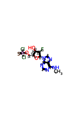 CNc1ncnc2c1ncn2[C@@H]1O[C@H](COP(=S)(Cl)Cl)C(O)[C@@H]1F